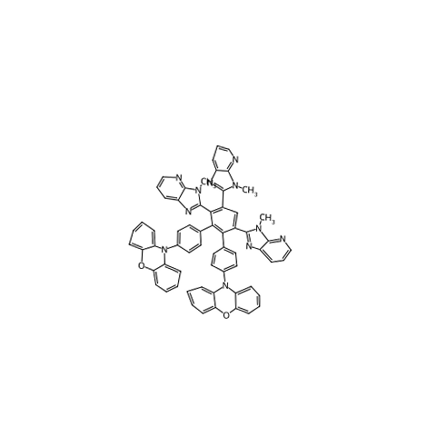 Cn1c(-c2cc(-c3nc4cccnc4n3C)c(-c3nc4cccnc4n3C)c(-c3ccc(N4c5ccccc5Oc5ccccc54)cc3)c2-c2ccc(N3c4ccccc4Oc4ccccc43)cc2)nc2cccnc21